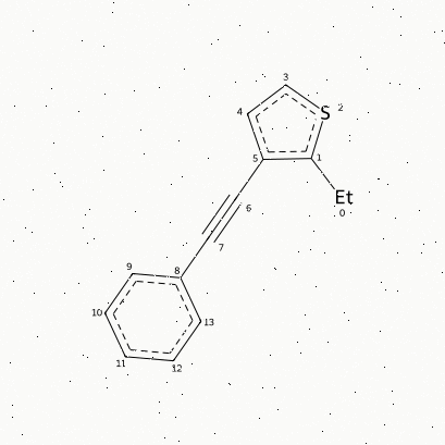 CCc1sccc1C#Cc1ccccc1